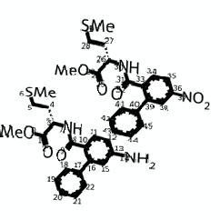 COC(=O)[C@H](CCSC)NC(=O)c1ccc(N)cc1-c1ccccc1.COC(=O)[C@H](CCSC)NC(=O)c1ccc([N+](=O)[O-])cc1-c1ccccc1